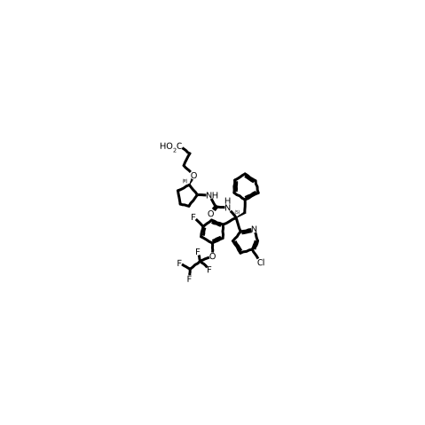 O=C(O)CCO[C@@H]1CCCC1NC(=O)N[C@@](Cc1ccccc1)(c1cc(F)cc(OC(F)(F)C(F)F)c1)c1ccc(Cl)cn1